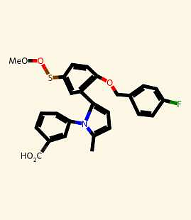 COOSc1ccc(OCc2ccc(F)cc2)c(-c2ccc(C)n2-c2cccc(C(=O)O)c2)c1